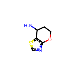 NC1CCOc2ncsc21